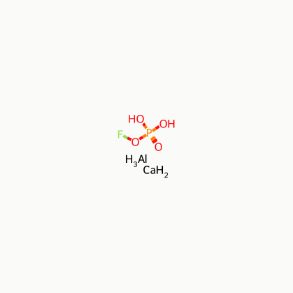 O=P(O)(O)OF.[AlH3].[CaH2]